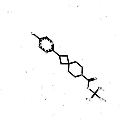 CC(C)(C)OC(=O)N1CCC2(CC1)CC(c1ncc(Cl)cn1)C2